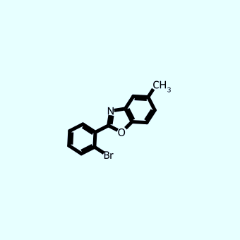 Cc1ccc2oc(-c3ccccc3Br)nc2c1